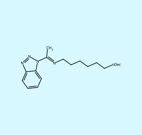 CCCCCCCCCCCCCCCCN=C(C)n1nnc2ccccc21